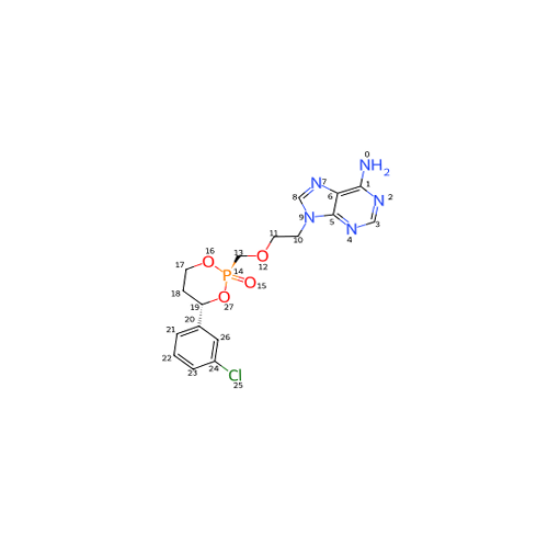 Nc1ncnc2c1ncn2CCOC[P@]1(=O)OCC[C@@H](c2cccc(Cl)c2)O1